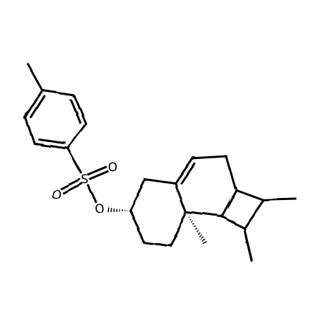 Cc1ccc(S(=O)(=O)O[C@H]2CC[C@@]3(C)C(=CCC4C(C)C(C)C43)C2)cc1